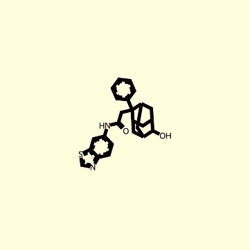 O=C(CC1(c2ccccc2)C2CC3CC1CC(C2)C3O)Nc1ccc2ncsc2c1